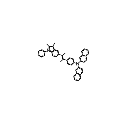 C/C(=C(/C)c1ccc2c(c1)c(C)c(C)n2-c1ccccc1)c1ccc(N(c2ccc3ccccc3c2)c2ccc3ccccc3c2)cc1